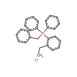 CCc1ccccc1[P+](Cc1ccccc1)(c1ccccc1)c1ccccc1.[Cl-]